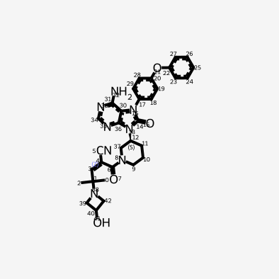 CC(C)(/C=C(/C#N)C(=O)N1CCC[C@H](n2c(=O)n(-c3ccc(Oc4ccccc4)cc3)c3c(N)ncnc32)C1)N1CC(O)C1